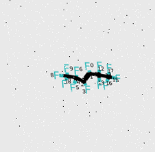 F/C(=C(/F)C(F)(F)C(F)(F)F)C(F)(F)C(F)(F)F